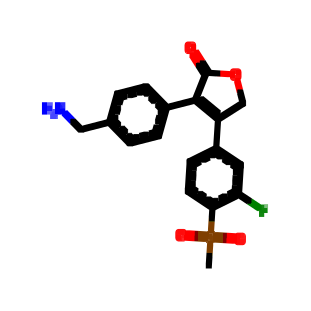 CS(=O)(=O)c1ccc(C2=C(c3ccc(CN)cc3)C(=O)OC2)cc1F